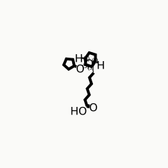 O=C(O)CCCCCC[C@@H]1[C@H](OC2CCCC2)[C@@H]2CC[C@H]1O2